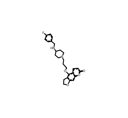 O=c1ccc2c(OCCCN3CCC(NCc4ccc(F)cc4)CC3)c3c(cc2o1)OCC3